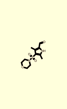 Cc1[nH]c(C=O)c(C)c1S(=O)(=O)N1CCOCC1